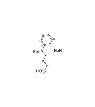 CCN(CCCS(=O)(=O)O)c1ccccc1.[NaH]